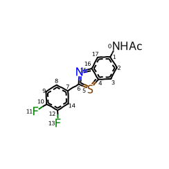 CC(=O)Nc1ccc2sc(-c3ccc(F)c(F)c3)nc2c1